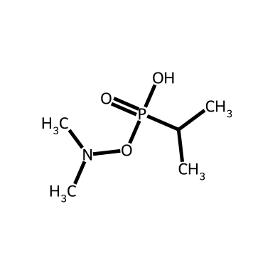 CC(C)P(=O)(O)ON(C)C